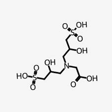 O=C(O)CN(CC(O)CS(=O)(=O)O)CC(O)CS(=O)(=O)O